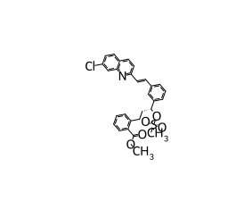 COC(=O)c1ccccc1CC[C@@H](OS(C)(=O)=O)c1cccc(/C=C/c2ccc3ccc(Cl)cc3n2)c1